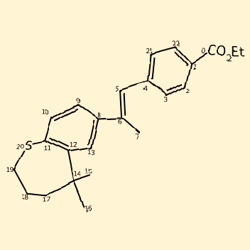 CCOC(=O)c1ccc(C=C(C)c2ccc3c(c2)C(C)(C)CCCS3)cc1